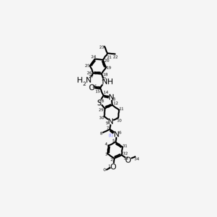 COc1ccc(/N=C(\C)N2CCc3nc(C(=O)Nc4cc(C(C)C)ccc4N)sc3C2)cc1OC